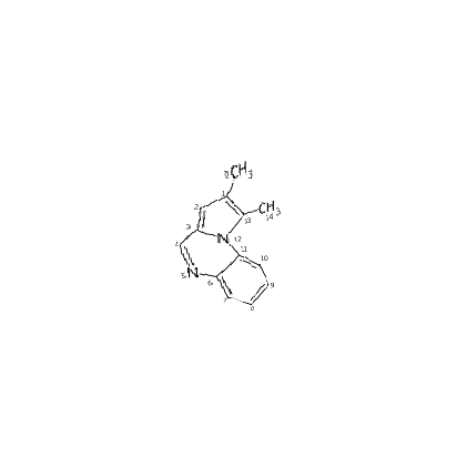 Cc1cc2cnc3ccccc3n2c1C